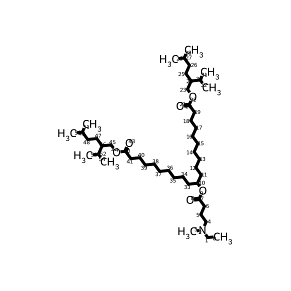 CCN(C)CCCC(=O)OC(CCCCCCCCCC(=O)OCC(CCC(C)C)C(C)C)CCCCCCCCCC(=O)OCC(CCC(C)C)C(C)C